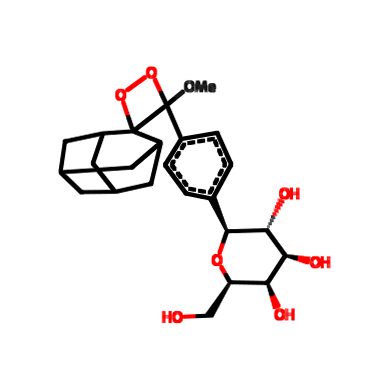 COC1(c2ccc([C@@H]3O[C@H](CO)[C@H](O)[C@H](O)[C@H]3O)cc2)OOC12C1CC3CC(C1)CC2C3